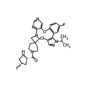 CC(C)n1ncc(Cl)c1-c1cc(F)ccc1Oc1cncnc1N1CC2(CCN(C(=O)[C@@H]3C[C@@H](F)CN3)CC2)C1